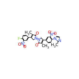 CC1=C(c2ccc(F)c([N+](=O)[O-])c2)CN(N2CC(c3ccc(-n4ccnc4C)c([N+](=O)[O-])c3)=C(C)C2=O)C1=O